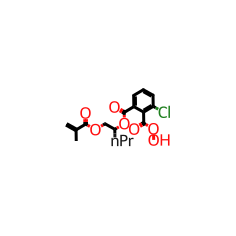 C=C(C)C(=O)OCC(CCC)OC(=O)c1cccc(Cl)c1C(=O)OO